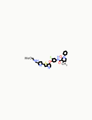 COCCNCc1ccc(-c2cc3nccc(Oc4ccc(NC(=O)c5c(C)ccn(-c6ccccc6)c5=O)cc4F)c3s2)nc1